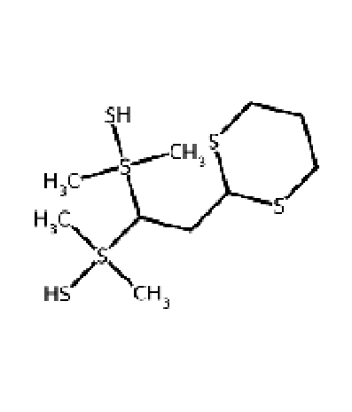 CS(C)(S)C(CC1SCCCS1)S(C)(C)S